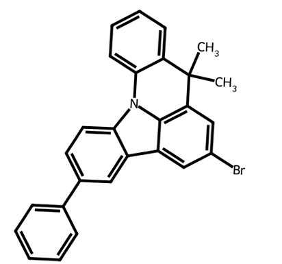 CC1(C)c2ccccc2-n2c3ccc(-c4ccccc4)cc3c3cc(Br)cc1c32